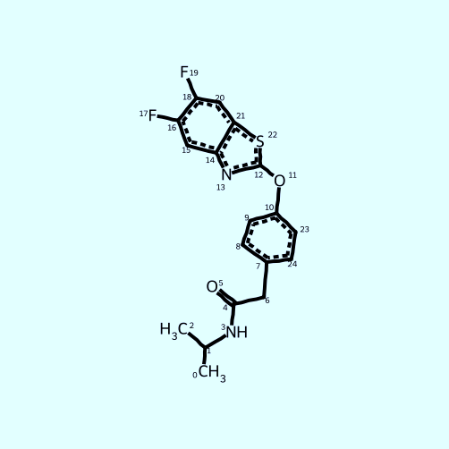 CC(C)NC(=O)Cc1ccc(Oc2nc3cc(F)c(F)cc3s2)cc1